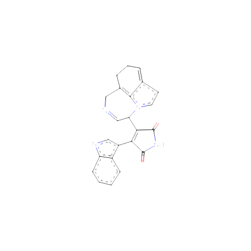 O=C1NC(=O)C(C2C=NCC3=c4c(ccn42)=CCC3)=C1c1c[nH]c2ccccc12